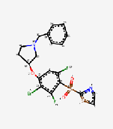 O=S(=O)(c1n[c]cs1)c1c(F)cc(O[C@H]2CCN(Cc3ccccc3)C2)c(Br)c1F